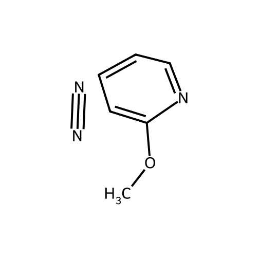 COc1ccccn1.N#N